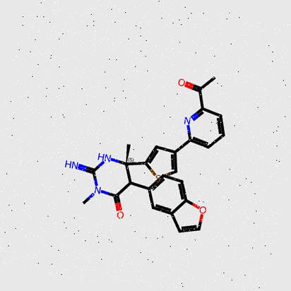 CC(=O)c1cccc(-c2csc([C@@]3(C)NC(=N)N(C)C(=O)C3c3ccc4occc4c3)c2)n1